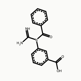 N=C(N)N(C(=O)c1ccccc1)c1cccc(C(=O)O)c1